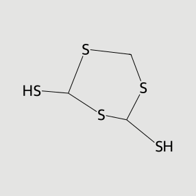 SC1SCSC(S)S1